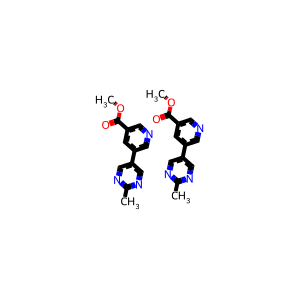 COC(=O)c1cncc(-c2cnc(C)nc2)c1.COC(=O)c1cncc(-c2cnc(C)nc2)c1